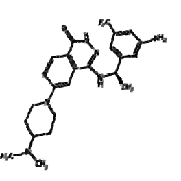 C[C@@H](Nc1n[nH]c(=O)c2cnc(N3CCC(N(C)C)CC3)cc12)c1cc(N)cc(C(F)(F)F)c1